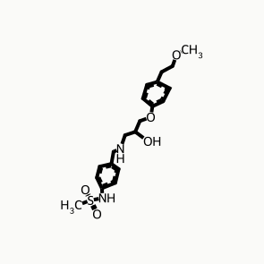 COCCc1ccc(OCC(O)CNCc2ccc(NS(C)(=O)=O)cc2)cc1